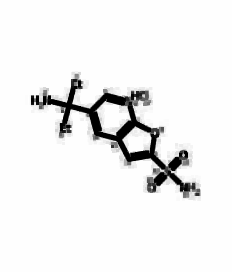 CCC(N)(CC)c1cnc2oc(S(N)(=O)=O)cc2c1.Cl